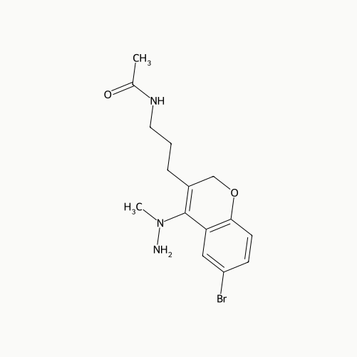 CC(=O)NCCCC1=C(N(C)N)c2cc(Br)ccc2OC1